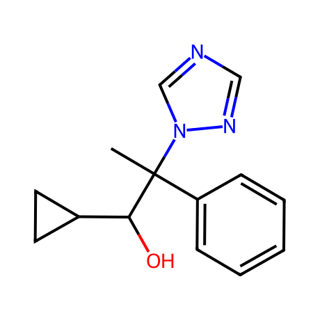 CC(c1ccccc1)(C(O)C1CC1)n1cncn1